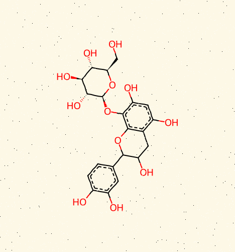 OC[C@H]1O[C@@H](Oc2c(O)cc(O)c3c2OC(c2ccc(O)c(O)c2)C(O)C3)[C@H](O)[C@@H](O)[C@@H]1O